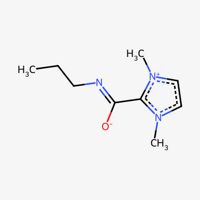 CCC/N=C(\[O-])c1n(C)cc[n+]1C